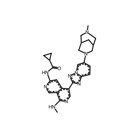 CNc1ncc(-c2nc3ccc(N4CC5CC(CN(C)C5)C4)cn3n2)c2cc(NC(=O)C3CC3)ncc12